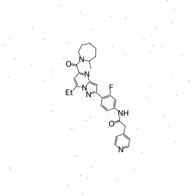 CCc1cc(C(=O)N2CCCCCC2C)nc2cc(-c3ccc(NC(=O)Cc4ccncc4)cc3F)nn12